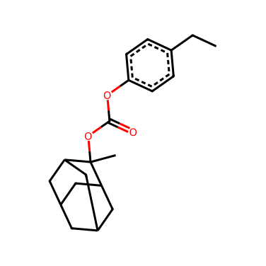 CCc1ccc(OC(=O)OC2(C)C3CC4CC(C3)CC2C4)cc1